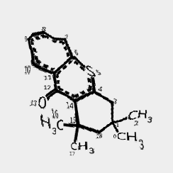 CC1(C)Cc2sc3ccccc3c(=O)c2C(C)(C)C1